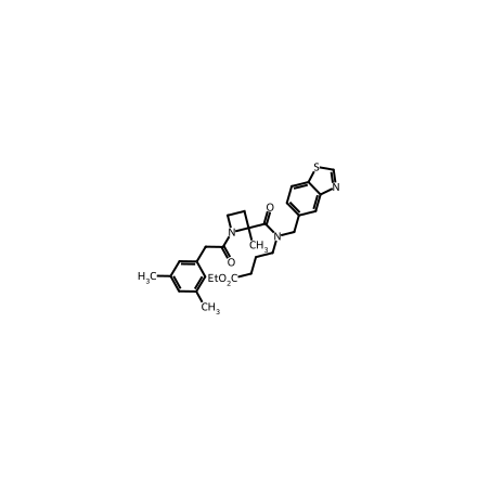 CCOC(=O)CCCN(Cc1ccc2scnc2c1)C(=O)C1(C)CCN1C(=O)Cc1cc(C)cc(C)c1